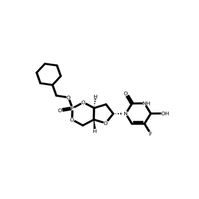 O=C1NC(O)C(F)=CN1[C@H]1C[C@@H]2OP(=O)(OCC3CCCCC3)OC[C@H]2O1